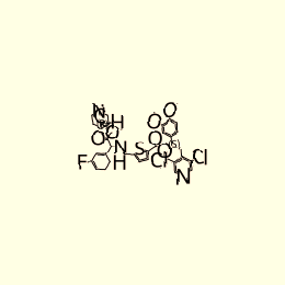 COc1ccc([C@H](Cc2c(Cl)cncc2Cl)OC(=O)c2ccc(CNC(C(=O)O[C@H]3CN4CCC3CC4)C3=CC(F)=CCC3)s2)cc1OC